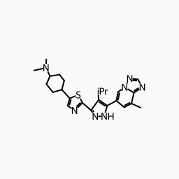 Cc1cc(-c2[nH]nc(-c3ncc(C4CCC(N(C)C)CC4)s3)c2C(C)C)cn2ncnc12